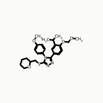 COCOC1=C=C=C(c2nnc(SCC3CCCCO3)n2-c2ccc(OC)cc2)C=C1C(C)C